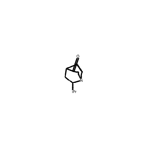 CC(C)C1CC2CCN1CC2=O